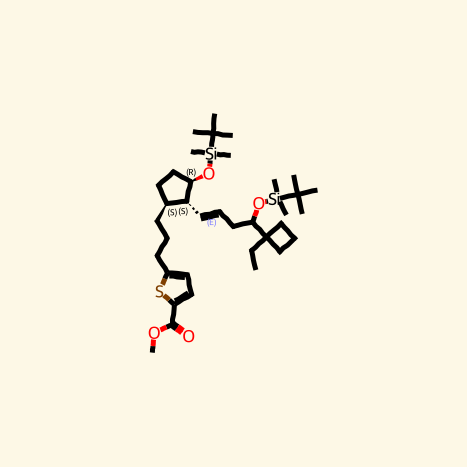 CCC1(C(C/C=C/[C@@H]2[C@@H](CCCc3ccc(C(=O)OC)s3)CC[C@H]2O[Si](C)(C)C(C)(C)C)O[Si](C)(C)C(C)(C)C)CCC1